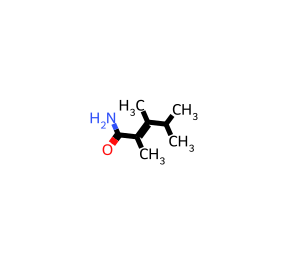 CC(C(N)=O)=C(C)C(C)C